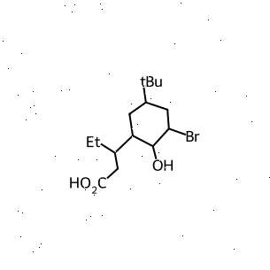 CCC(CC(=O)O)C1CC(C(C)(C)C)CC(Br)C1O